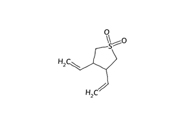 C=CC1CS(=O)(=O)CC1C=C